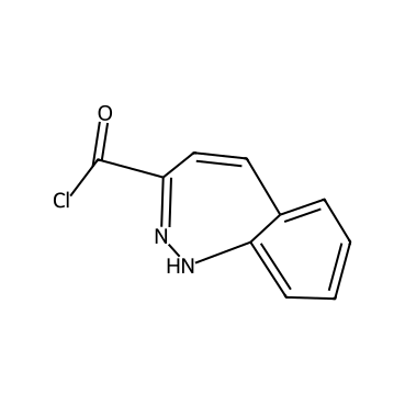 O=C(Cl)C1=NNc2ccccc2C=C1